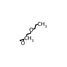 C1CO1.CCCOCCC